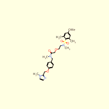 COc1cc(C)c(S(=O)(=O)N(C)CCOCC(=O)N(C)Cc2ccc(OCc3nccn3C)cc2)c(C)c1